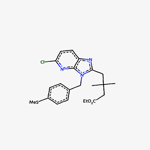 CCOC(=O)CC(C)(C)Cc1nc2ccc(Cl)nc2n1Cc1ccc(SC)cc1